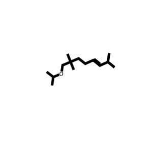 CC(C)/C=C/CCC(C)(C)COC(C)C